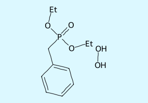 CCOP(=O)(Cc1ccccc1)OCC.OO